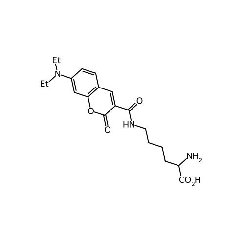 CCN(CC)c1ccc2cc(C(=O)NCCCCC(N)C(=O)O)c(=O)oc2c1